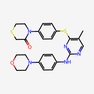 Cc1cnc(Nc2ccc(N3CCOCC3)cc2)nc1Sc1ccc(N2CCSCC2=O)cc1